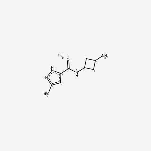 CC(C)(C)c1cc(C(=O)NC2CC(N)C2)[nH]n1.Cl